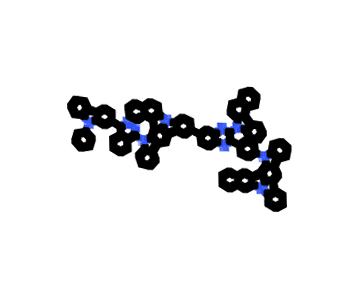 c1ccc(-n2c3ccccc3c3ccc(-c4nnc(-n5c6ccccc6c6cc7c8cc(-c9ccc%10nc(-c%11ccc(-n%12c%13ccccc%13c%13cc%14c%15ccccc%15n%15c%16cc%17ccccc%17cc%16c(c%13%12)c%14%15)cc%11)c(-n%11c%12ccccc%12c%12c%13ccccc%13ccc%12%11)nc%10c9)ccc8n8c9ccc%10ccccc%10c9c(c65)c78)c5ccccc45)cc32)cc1